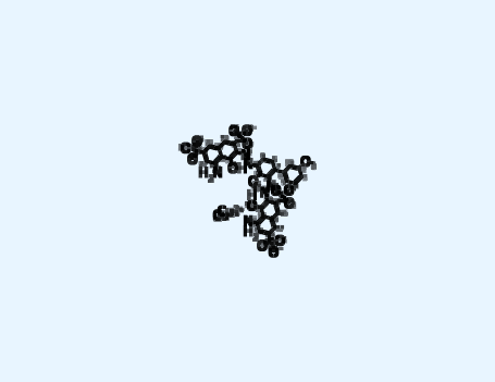 COc1cccc(-c2ccc(N=Nc3c(S(=O)(=O)[O-])cc4cc(S(=O)(=O)[O-])cc(N)c4c3O)c(OC)c2N=Nc2c(S(=O)(=O)[O-])cc3cc(S(=O)(=O)[O-])cc(N)c3c2O)c1.[Cu+2].[Cu+2]